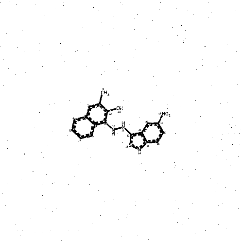 Cc1cc2ccccc2c(NNc2snc3ccc([N+](=O)[O-])cc23)c1O